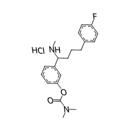 CNC(CCCc1ccc(F)cc1)c1cccc(OC(=O)N(C)C)c1.Cl